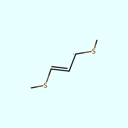 CS[CH]/C=C/SC